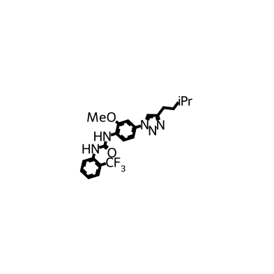 COc1cc(-n2cc(CCC(C)C)nn2)ccc1NC(=O)Nc1ccccc1C(F)(F)F